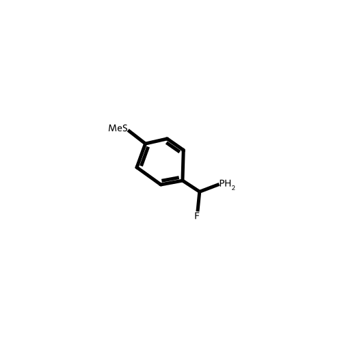 CSc1ccc(C(F)P)cc1